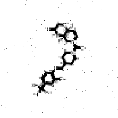 O=C1CO[C@H]2CCN(C(=O)N3CCC(COc4ccc(C(F)(F)F)cc4F)CC3)C[C@H]2N1